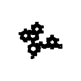 C[C@@H]1CCN(C(=O)c2ncccc2-c2ncccn2)[C@H](COc2cc(Cl)ccn2)C1